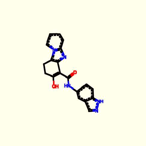 O=C(Nc1ccc2[nH]ncc2c1)C1=C(O)CCc2c1nc1ccccn21